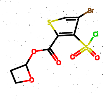 O=C(OC1CCO1)c1scc(Br)c1S(=O)(=O)Cl